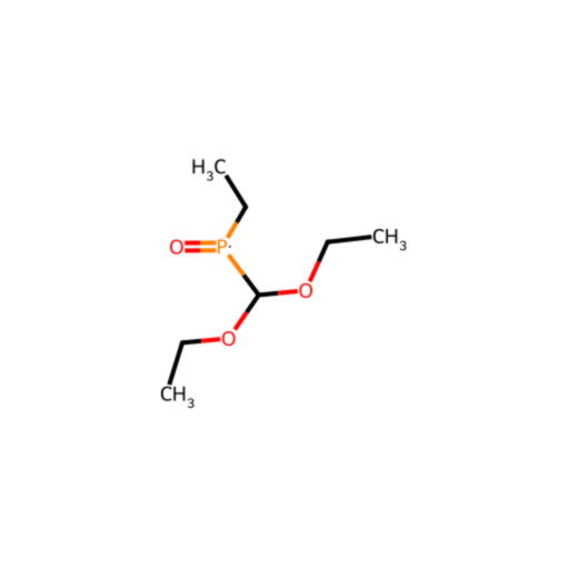 CCOC(OCC)[P](=O)CC